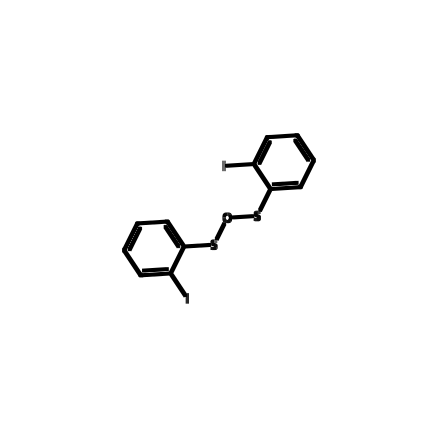 Ic1ccccc1SOSc1ccccc1I